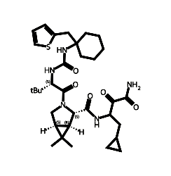 CC(C)(C)[C@H](NC(=O)NC1(Cc2cccs2)CCCCC1)C(=O)N1C[C@H]2[C@@H]([C@H]1C(=O)NC(CC1CC1)C(=O)C(N)=O)C2(C)C